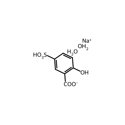 O.O.O=C([O-])c1cc(S(=O)(=O)O)ccc1O.[Na+]